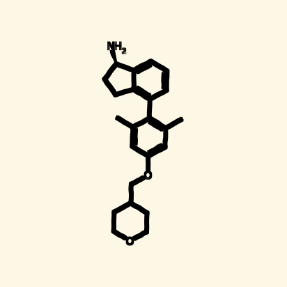 Cc1cc(OCC2CCOCC2)cc(C)c1-c1cccc2c1CC[C@H]2N